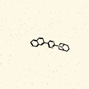 CN1C2CCCC1CN(c1ncc(-c3ccc4ccccc4c3)cn1)C2